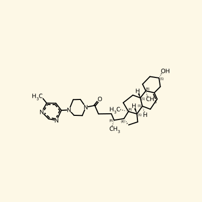 Cc1cc(N2CCN(C(=O)CC[C@@H](C)[C@H]3CC[C@H]4[C@@H]5CC=C6C[C@@H](O)CC[C@]6(C)[C@H]5CC[C@]34C)CC2)ncn1